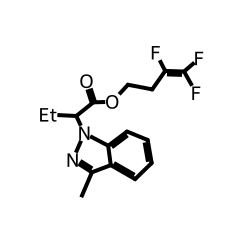 CCC(C(=O)OCCC(F)=C(F)F)n1nc(C)c2ccccc21